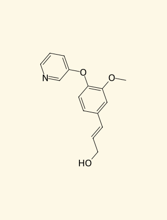 COc1cc(C=CCO)ccc1Oc1cccnc1